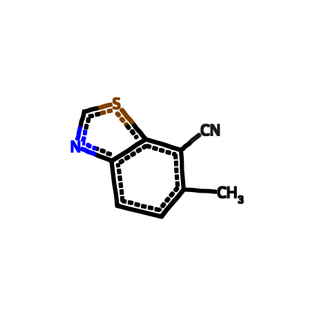 Cc1ccc2ncsc2c1C#N